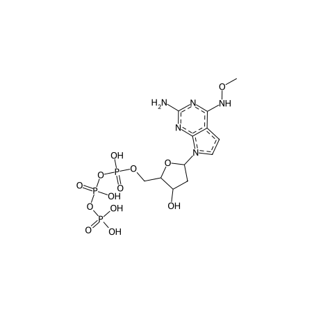 CONc1nc(N)nc2c1ccn2C1CC(O)C(COP(=O)(O)OP(=O)(O)OP(=O)(O)O)O1